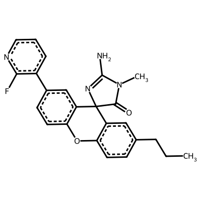 CCCc1ccc2c(c1)C1(N=C(N)N(C)C1=O)c1cc(-c3cccnc3F)ccc1O2